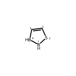 B1BSC=C1